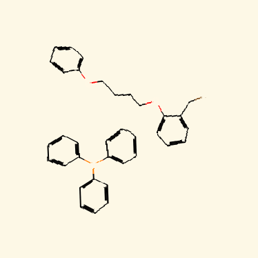 BrCc1ccccc1OCCCCOc1ccccc1.c1ccc(P(c2ccccc2)c2ccccc2)cc1